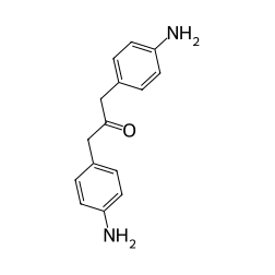 Nc1ccc(CC(=O)Cc2ccc(N)cc2)cc1